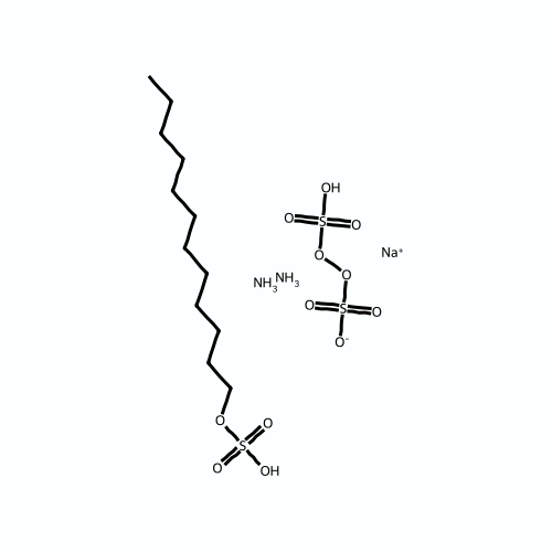 CCCCCCCCCCCCOS(=O)(=O)O.N.N.O=S(=O)([O-])OOS(=O)(=O)O.[Na+]